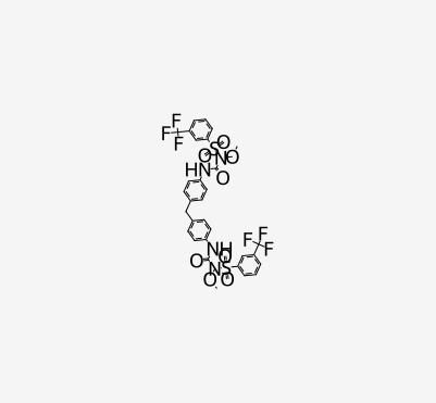 CON(C(=O)Nc1ccc(Cc2ccc(NC(=O)N(OC)S(=O)(=O)c3cccc(C(F)(F)F)c3)cc2)cc1)S(=O)(=O)c1cccc(C(F)(F)F)c1